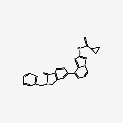 C=C(Nc1nc2c(-c3ccc4c(c3)CN(Cc3ccccc3)C4=O)cccn2n1)C1CC1